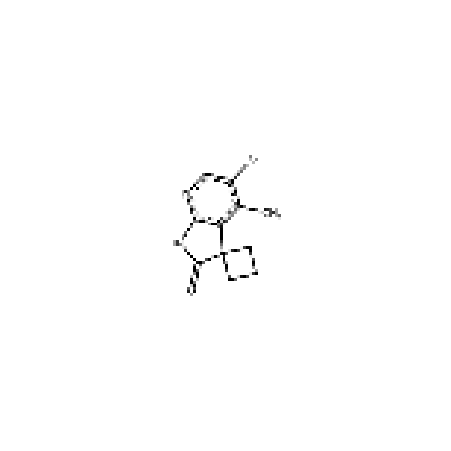 Cc1c(Br)cnc2c1C1(CCC1)C(=O)N2